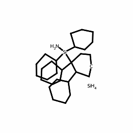 N[Si](C1CCCCC1)(C1CCCCC1)C1(C2CCCCC2)CCCCC1C1CCCCC1.[SiH4]